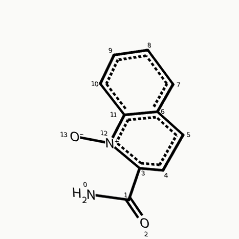 NC(=O)c1ccc2ccccc2[n+]1[O-]